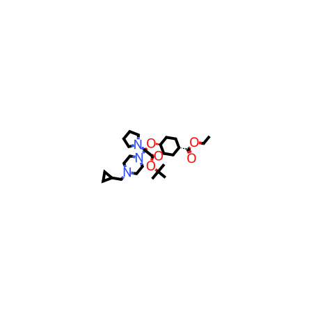 CCOC(=O)[C@H]1CC[C@H](OC(C(=O)OC(C)(C)C)(N2CCCC2)N2CCN(CC3CC3)CC2)CC1